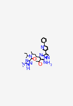 CCC(C)N(C(=O)c1n[nH]c(N(C)C)n1)C(C)CCc1nc2c(-c3ccc(-c4ccccc4)nc3)cnn2c(N)c1C(C)=O